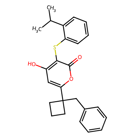 CC(C)c1ccccc1Sc1c(O)cc(C2(Cc3ccccc3)CCC2)oc1=O